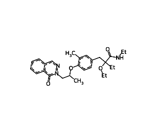 CCNC(=O)C(CC)(Cc1ccc(OC(C)Cn2ncc3ccccc3c2=O)c(C)c1)OCC